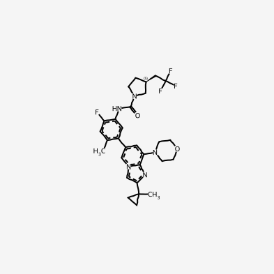 Cc1cc(F)c(NC(=O)N2CC[C@@H](CC(F)(F)F)C2)cc1-c1cc(N2CCOCC2)c2nc(C3(C)CC3)cn2c1